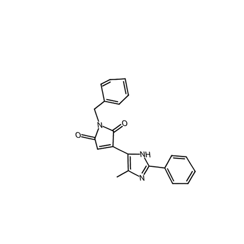 Cc1nc(-c2ccccc2)[nH]c1C1=CC(=O)N(Cc2ccccc2)C1=O